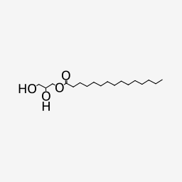 CCCCCCCCCCCCCCC(=O)OCC(O)CO